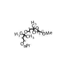 CCCOCCC(C)(C)OCCC(C)(C)OCCOC